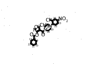 Cc1onc(OC(=O)c2ccccc2)c1C(=O)N1CCN(c2ccc([N+](=O)[O-])cc2Cl)CC1